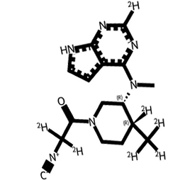 [2H]c1nc(N(C)[C@H]2CN(C(=O)C([2H])([2H])[N+]#[C-])CC[C@@]2([2H])C([2H])([2H])[2H])c2cc[nH]c2n1